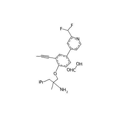 CC#Cc1cc(-c2ccnc(C(F)F)c2)ccc1OCC(C)(N)CC(C)C.O=CO